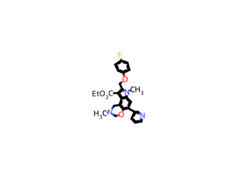 CCOC(=O)c1c(COc2ccc(F)cc2)n(C)c2cc(-c3cccnc3)c3c(c12)CN(C)CO3